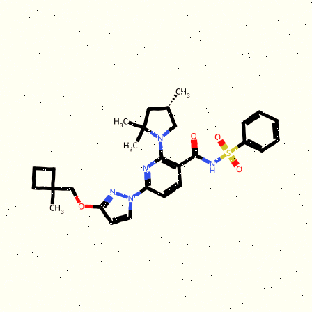 C[C@@H]1CN(c2nc(-n3ccc(OCC4(C)CCC4)n3)ccc2C(=O)NS(=O)(=O)c2ccccc2)C(C)(C)C1